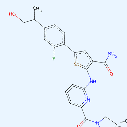 CO[C@@H]1CCN(C(=O)c2cccc(Nc3sc(-c4ccc(C(C)CO)cc4F)cc3C(N)=O)n2)C1